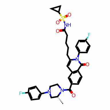 C[C@@H]1CN(c2ccc(F)cc2)CCN1C(=O)c1ccc2c(=O)n(-c3ccc(F)cc3)c(CCCCC(=O)NS(=O)(=O)C3CC3)cc2c1